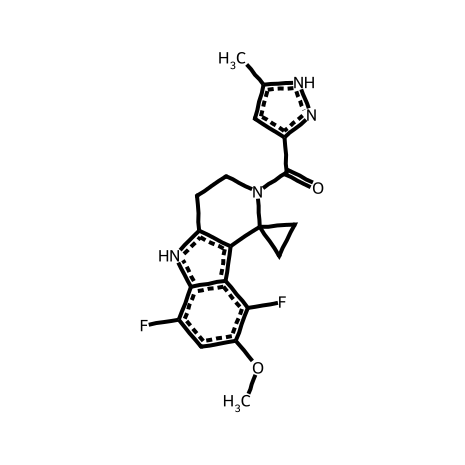 COc1cc(F)c2[nH]c3c(c2c1F)C1(CC1)N(C(=O)c1cc(C)[nH]n1)CC3